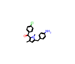 Cc1cc(Cc2ccc(N)cc2)n(C)c1C(=O)c1ccc(Cl)cc1